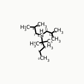 CCCC(C)(C)[SiH](CC(C)C)CC(C)C